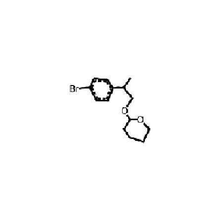 CC(COC1CCCCO1)c1ccc(Br)cc1